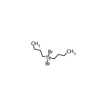 CCCC[Te](Br)(Br)CCCC